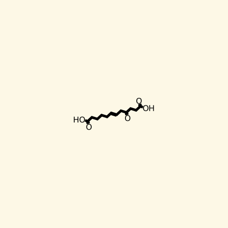 O=C(O)CCCC/C=C/CC(=O)CCC(=O)O